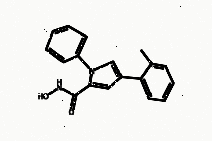 Cc1ccccc1-c1cc(C(=O)NO)n(-c2ccccc2)c1